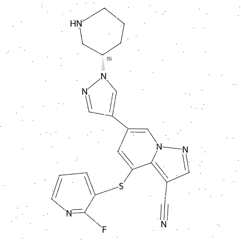 N#Cc1cnn2cc(-c3cnn([C@H]4CCCNC4)c3)cc(Sc3cccnc3F)c12